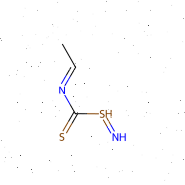 CC=NC(=S)[SH]=N